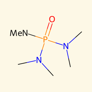 CNP(=O)(N(C)C)N(C)C